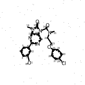 COc1cccc(-c2ncc3c(n2)n(C)c(=O)n3C(=O)N(C)CCOc2ccc(Cl)cc2)c1